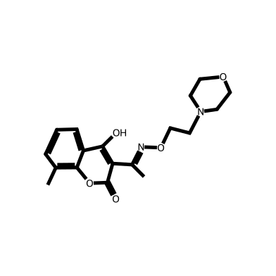 CC(=NOCCN1CCOCC1)c1c(O)c2cccc(C)c2oc1=O